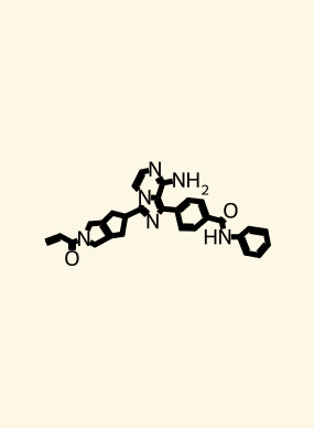 C=CC(=O)N1CC2=C(CC(c3nc(-c4ccc(C(=O)Nc5ccccc5)cc4)c4c(N)nccn34)C2)C1